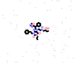 CCCn1c(=O)c2c(nc(C(c3ccccc3)c3nnco3)n2CCNCC(O)CC)n(CCc2ccccc2)c1=O